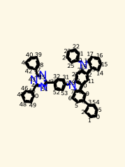 c1ccc(-c2ccc3c(c2)c2cc4c5ccccc5n(-c5ccccc5)c4cc2n3-c2ccc(-c3nc(-c4ccccc4)nc(-c4ccccc4)n3)cc2)cc1